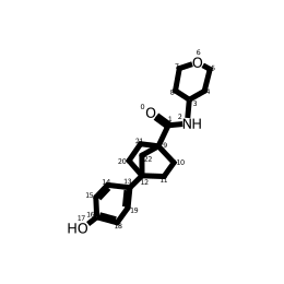 O=C(NC1CCOCC1)C12CCC(c3ccc(O)cc3)(CC1)C2